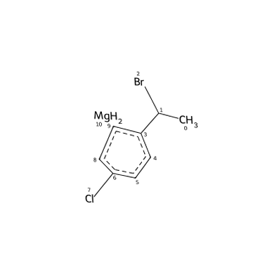 CC(Br)c1ccc(Cl)cc1.[MgH2]